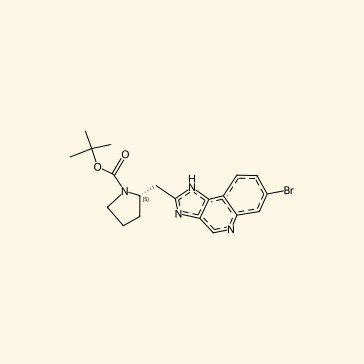 CC(C)(C)OC(=O)N1CCC[C@H]1Cc1nc2cnc3cc(Br)ccc3c2[nH]1